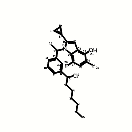 CCCCCCC(Cl)c1cccc(C(C)n2c(C3=CC3)cc3c(O)c(F)cc(F)c32)c1